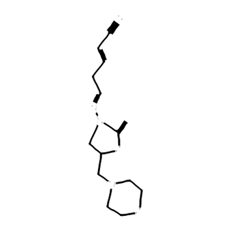 N#CC=CC/C=N/N1CC(CN2CCOCC2)OC1=O